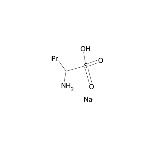 CC(C)C(N)S(=O)(=O)O.[Na]